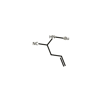 C=CCC(C#N)NC(C)CC